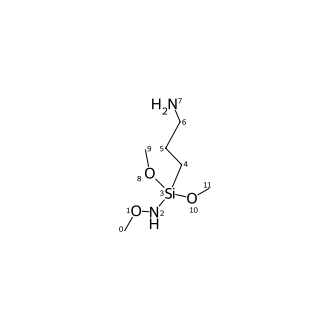 CON[Si](CCCN)(OC)OC